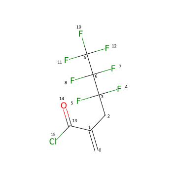 C=C(CC(F)(F)C(F)(F)C(F)(F)F)C(=O)Cl